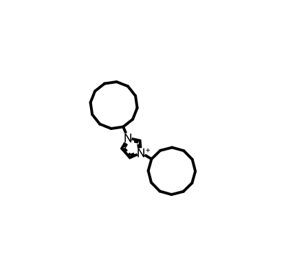 c1c[n+](C2CCCCCCCCCCC2)cn1C1CCCCCCCCCCC1